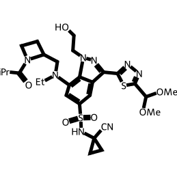 CCN(CC1CCN1C(=O)C(C)C)c1cc(S(=O)(=O)NC2(C#N)CC2)cc2c(-c3nnc(C(OC)OC)s3)nn(CCO)c12